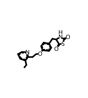 CCc1cccnc1CCOc1ccc(CC2NC(=O)SC2=O)cc1